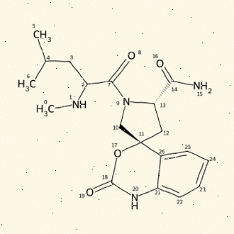 CNC(CC(C)C)C(=O)N1C[C@]2(C[C@H]1C(N)=O)OC(=O)Nc1ccccc12